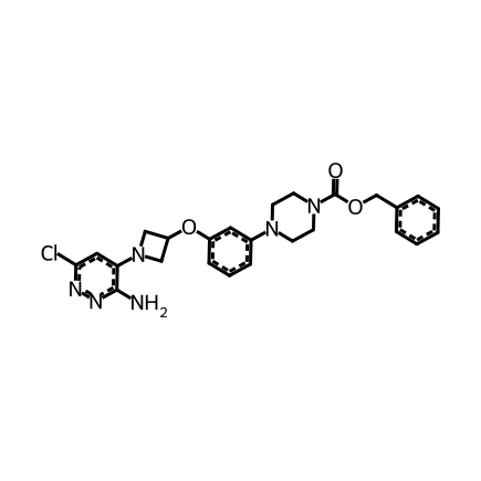 Nc1nnc(Cl)cc1N1CC(Oc2cccc(N3CCN(C(=O)OCc4ccccc4)CC3)c2)C1